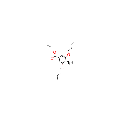 CBc1c(OCCCC)cc(C(=O)OCCCC)cc1OCCCC